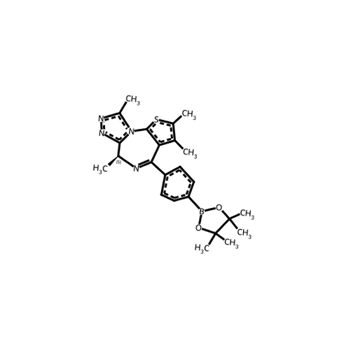 Cc1sc2c(c1C)C(c1ccc(B3OC(C)(C)C(C)(C)O3)cc1)=N[C@@H](C)c1nnc(C)n1-2